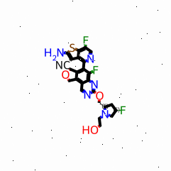 N#Cc1c(N)sc2c(F)cnc(-c3c4c(c5cnc(OC[C@@H]6C[C@H](F)CN6CCO)nc5c3F)COC4)c12